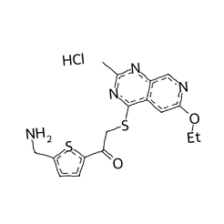 CCOc1cc2c(SCC(=O)c3ccc(CN)s3)nc(C)nc2cn1.Cl